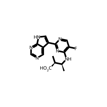 C[C@H](Nc1nc(-c2c[nH]c3ncncc23)ncc1F)[C@H](C)C(=O)O